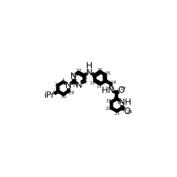 CC(C)C1CCN(c2ncc(Nc3ccc(CNC(=O)C4CCCC(=O)N4)cc3)cn2)CC1